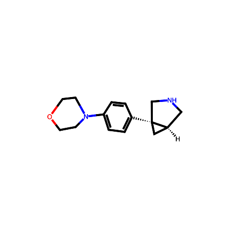 c1cc([C@]23CNC[C@H]2C3)ccc1N1CCOCC1